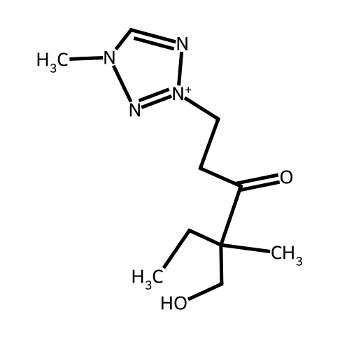 CCC(C)(CO)C(=O)CC[n+]1ncn(C)n1